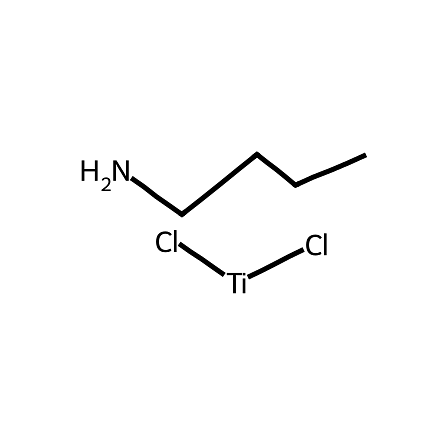 CCCCN.[Cl][Ti][Cl]